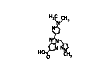 CCN(CC)c1ccc(-c2nc3cc(C(=O)O)cnc3n2Cc2ccn(C)n2)cn1